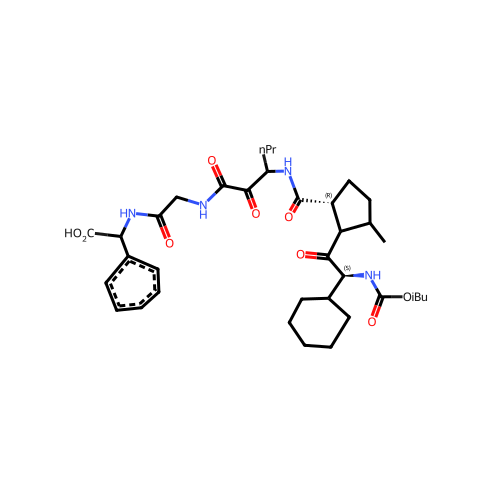 CCCC(NC(=O)[C@@H]1CCC(C)C1C(=O)[C@@H](NC(=O)OCC(C)C)C1CCCCC1)C(=O)C(=O)NCC(=O)NC(C(=O)O)c1ccccc1